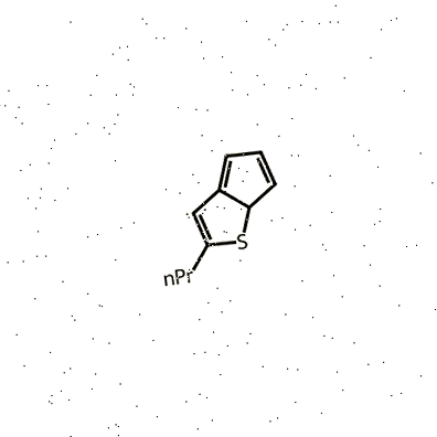 CCCC1=[C]C2=CC=CC2S1